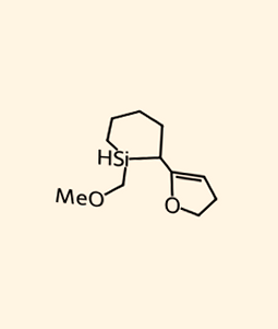 COC[SiH]1CCCCC1C1=CCCO1